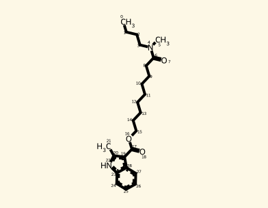 CCCCN(C)C(=O)CCCCCCCCOC(=O)c1c(C)[nH]c2ccccc12